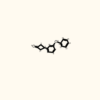 O=C1CC(c2cccc(Oc3ccccc3)c2)C1